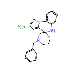 Cl.c1ccc(CN2CCCC3(C2)Nc2ccccc2-n2cccc23)cc1